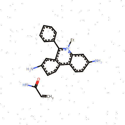 C=CC([NH-])=O.CC[n+]1c(-c2ccccc2)c2cc(N)ccc2c2ccc(N)cc21